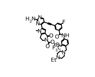 CCN1CCN(Cc2ccc(NC(=O)c3cc(F)cc(C#Cc4cnc(N)nc4-c4cc5c(n4C)CCN(C(=O)OC(C)(C)C)C5=O)c3)cc2C(F)(F)F)CC1